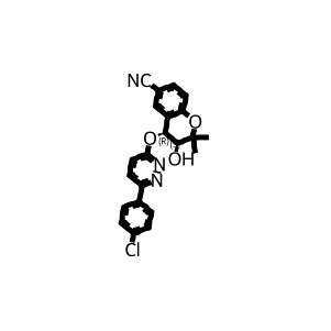 CC1(C)Oc2ccc(C#N)cc2[C@@H](Oc2ccc(-c3ccc(Cl)cc3)nn2)[C@@H]1O